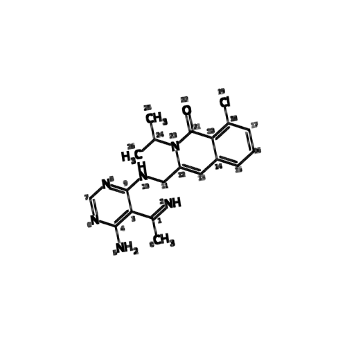 CC(=N)c1c(N)ncnc1NCc1cc2cccc(Cl)c2c(=O)n1C(C)C